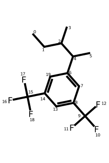 CCC(C)C(C)c1cc(C(F)(F)F)cc(C(F)(F)F)c1